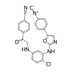 [C-]#[N+]c1ccc(-c2cnc(Nc3cc(NCC(=O)c4ccc(C#N)cc4)ccc3Cl)o2)cc1